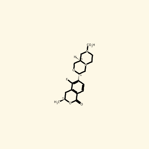 C[C@H]1Cc2c(ccc([C@H]3CN4CCN(C(=O)O)C[C@@H]4CO3)c2F)C(=O)O1